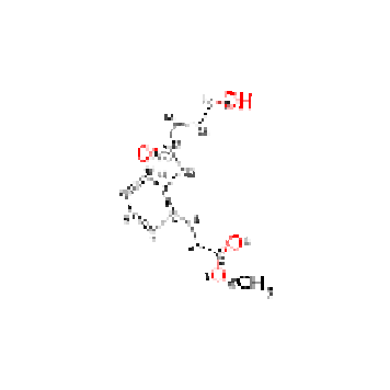 COC(=O)CCc1cccc2c1C[C@@H](CCCO)O2